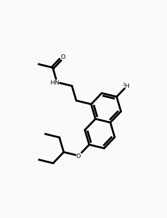 [2H]c1cc(CCNC(C)=O)c2cc(OC(CC)CC)ccc2c1